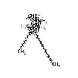 CCCCCCCCCCCCC/C=C/[C@@H](OC(C)=O)[C@H](CO[C@@H]1O[C@H](COC(C)=O)[C@H](OC(C)=O)C(OC(C)=O)C1OC(C)=O)NC(=O)CCCCCCCCCCCCCCCCCCCCCCC